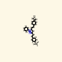 C[Si](C)(C)c1ccc(C=CC2=NN(c3ccccc3)C(C=Cc3ccc([Si](C)(C)C)cc3)C2)cc1